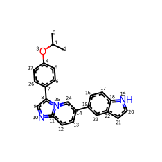 CC(C)Oc1ccc(-c2cnc3ccc(-c4ccc5[nH]ccc5c4)cn23)cc1